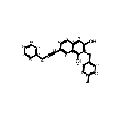 Cc1ccc(Cc2c(O)cc3ccc(C#CCc4ccccc4)cc3c2O)cc1